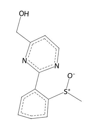 C[S+]([O-])c1ccccc1-c1nccc(CO)n1